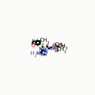 Cc1cc2c(cc1Sc1nc3c(N)ncnc3n1CCCNS(=O)(=O)C(C)(C)C)OCC2